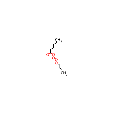 CCCCCC(=O)OOOOCCCC